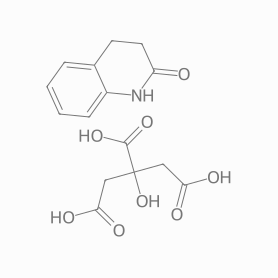 O=C(O)CC(O)(CC(=O)O)C(=O)O.O=C1CCc2ccccc2N1